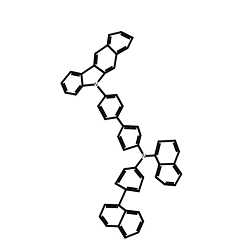 c1ccc2cc3c(cc2c1)c1ccccc1n3-c1ccc(-c2ccc(N(c3ccc(-c4cccc5ccccc45)cc3)c3cccc4ccccc34)cc2)cc1